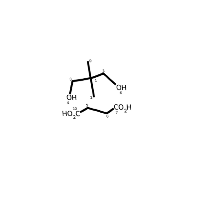 CC(C)(CO)CO.O=C(O)CCC(=O)O